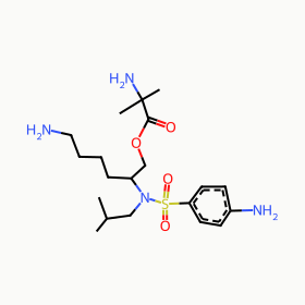 CC(C)CN(C(CCCCN)COC(=O)C(C)(C)N)S(=O)(=O)c1ccc(N)cc1